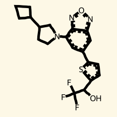 OC(c1ccc(-c2cc(N3CCC(C4CCC4)C3)c3nonc3c2)s1)C(F)(F)F